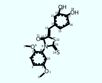 COc1ccc(OC)c(N2C(=O)C(=Cc3ccc(O)c(O)c3)SC2=S)c1